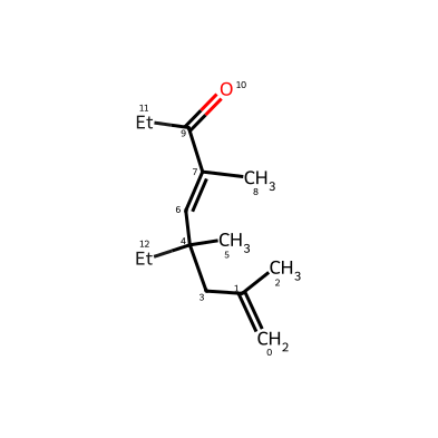 C=C(C)CC(C)(C=C(C)C(=O)CC)CC